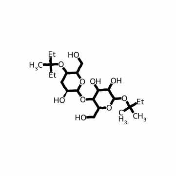 CCC(C)(C)OC1OC(CO)C(OC2OC(CO)C(OC(C)(CC)CC)C[C@@H]2O)C(O)C1O